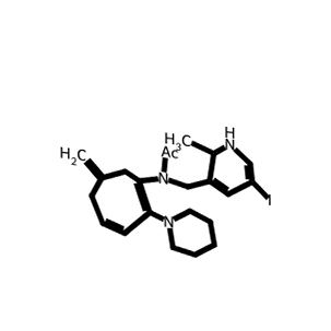 C=C1CC=CC(N2CCCCC2)=C(N(CC2=CC(I)=CNC2C)C(C)=O)C1